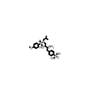 COc1ccc(S(=O)(=O)N(CC(C)C)C[C@@H](O)[C@@H](N)Cc2ccc(P(=O)(O)O)cc2)cc1